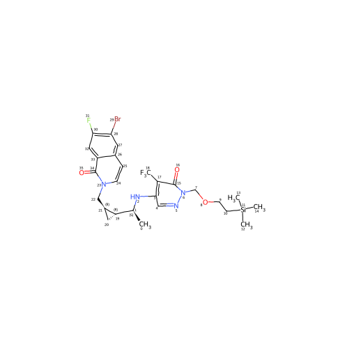 C[C@H](Nc1cnn(COCC[Si](C)(C)C)c(=O)c1C(F)(F)F)[C@@H]1C[C@H]1Cn1ccc2cc(Br)c(F)cc2c1=O